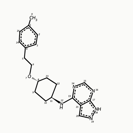 Cc1ccc(CCO[C@H]2CC[C@H](Nc3ncnc4[nH]ncc34)CC2)cc1